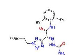 CCCCCCCCCCCCn1nnc(C(=NNC(N)=O)C(=O)Nc2c(C(C)C)cccc2C(C)C)n1